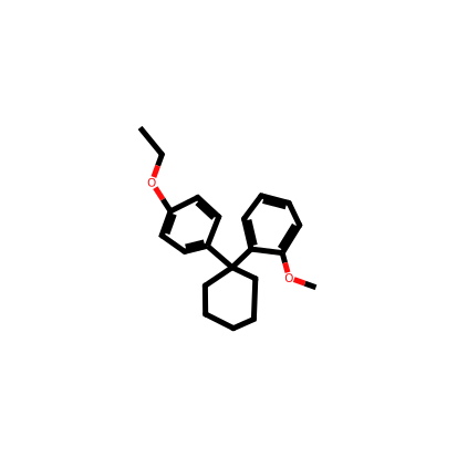 CCOc1ccc(C2(c3ccccc3OC)CCCCC2)cc1